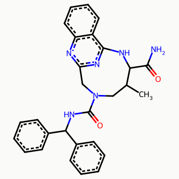 CC1CN(C(=O)NC(c2ccccc2)c2ccccc2)Cc2nc(c3ccccc3n2)NC1C(N)=O